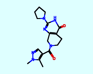 Cc1c(C(=O)N2CCc3c(nc(N4CCCC4)[nH]c3=O)C2)cnn1C